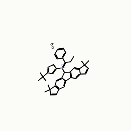 CC/[C](c1ccccc1)=[Zr+2](/[C]1=CC(C(C)(C)C)=CC1)[CH]1c2cc3c(cc2-c2cc4c(cc21)C(C)(C)C=C4)C=CC3(C)C.[Cl-].[Cl-]